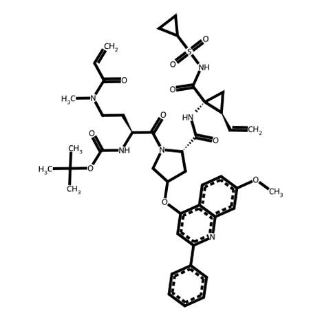 C=CC(=O)N(C)CC[C@H](NC(=O)OC(C)(C)C)C(=O)N1CC(Oc2cc(-c3ccccc3)nc3cc(OC)ccc23)C[C@H]1C(=O)N[C@]1(C(=O)NS(=O)(=O)C2CC2)C[C@H]1C=C